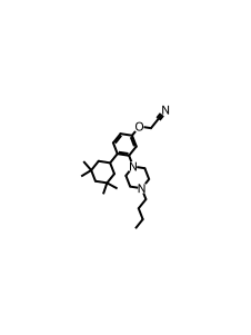 CCCCN1CCN(c2cc(OCC#N)ccc2C2CC(C)(C)CC(C)(C)C2)CC1